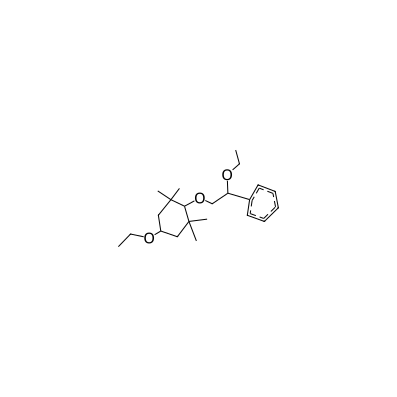 CCOC1CC(C)(C)C(OCC(OCC)c2ccccc2)C(C)(C)C1